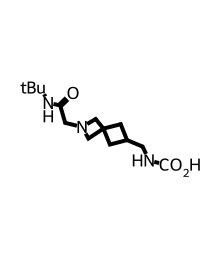 CC(C)(C)NC(=O)CN1CC2(CC(CNC(=O)O)C2)C1